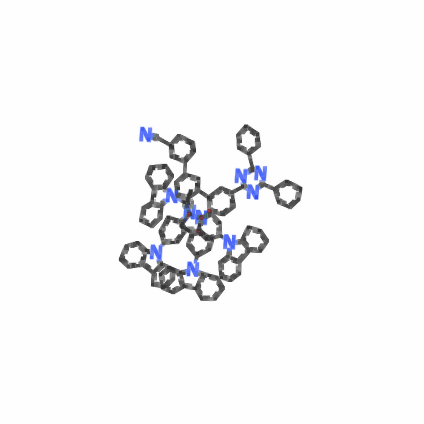 C[C@@H](C1Cc2cc(-n3c4ccccc4c4ccccc43)ccc2N1c1ccc(-c2nc(-c3ccccc3)nc(-c3ccccc3)n2)cc1-c1cc(-c2cccc(C#N)c2)ccc1-n1c2ccc(-n3c4ccccc4c4ccccc43)cc2c2cc(-n3c4ccccc4c4ccccc43)ccc21)n1c2ccccc2c2ccccc21